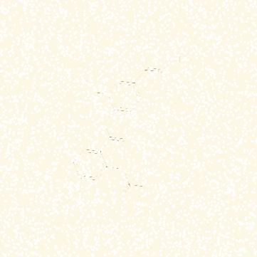 C/C=C/c1ccc(OC(=O)c2ccccc2OC(C)=O)c(OC)c1